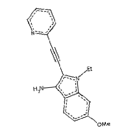 CCn1c(C#Cc2ccccn2)c(N)c2ccc(OC)cc21